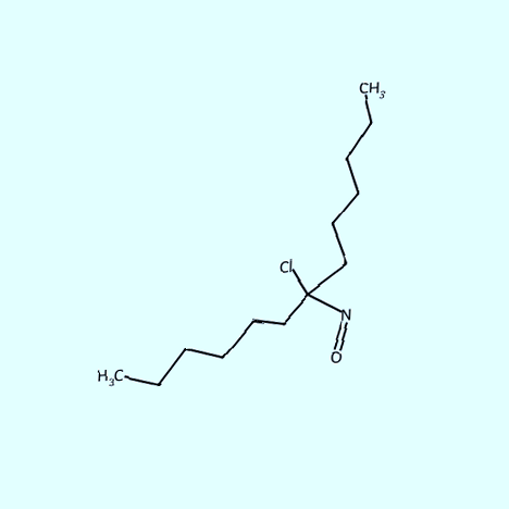 CCCCCCC(Cl)(CCCCCC)N=O